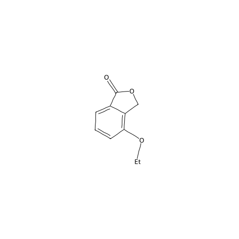 CCOc1cccc2c1COC2=O